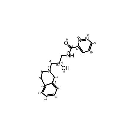 O=C(NC[C@H](O)CN1CCc2ccccc2C1)c1cccnn1